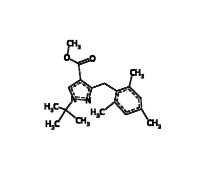 COC(=O)c1cn(C(C)(C)C)nc1Cc1c(C)cc(C)cc1C